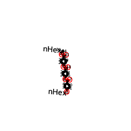 CCCCCCOc1ccc(C(=O)Oc2ccc(C(=O)Oc3ccc(C(=O)OC(C)CCCCCC)cc3)cc2)cc1